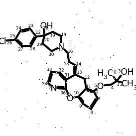 CC(C)(O)COc1cccc2c1C/C(=C/CCN1CCC(O)(c3ccc(Cl)cc3)CC1)c1cccnc1O2